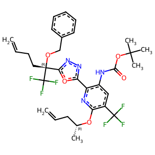 C=CCC[C@@](OCc1ccccc1)(c1nnc(-c2nc(O[C@H](C)CC=C)c(C(F)(F)F)cc2NC(=O)OC(C)(C)C)o1)C(F)(F)F